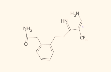 N=C(CCc1ccccc1CC(N)=O)/C(=C\N)C(F)(F)F